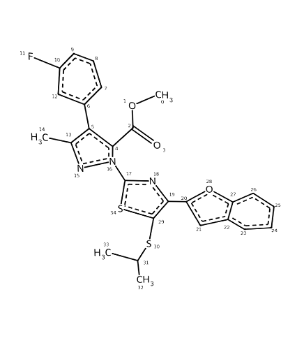 COC(=O)c1c(-c2cccc(F)c2)c(C)nn1-c1nc(-c2cc3ccccc3o2)c(SC(C)C)s1